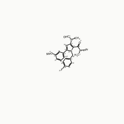 CCCN(C)C(=O)c1c(N(C)C=O)nc(-c2cccc(OC)c2)n1Cc1ccc(F)cc1